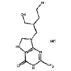 Cl.Nc1nc2c(c(=O)[nH]1)NCN2CC(CO)CCO